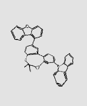 CC1(C)Oc2cc(-n3c4ccccc4c4ccccc43)ccc2-c2cc(-c3cccc4oc5ccccc5c34)ccc2O1